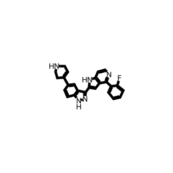 Fc1ccccc1-c1nccc2[nH]c(-c3n[nH]c4ccc(C5=CCNCC5)cc34)cc12